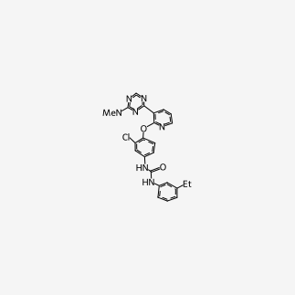 CCc1cccc(NC(=O)Nc2ccc(Oc3ncccc3-c3ncnc(NC)n3)c(Cl)c2)c1